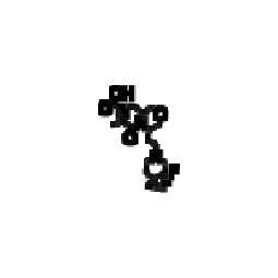 CC1C(=O)N2C(CCN3CCC4(CC4)C(F)(F)C3)COCC2CN1C(=O)O